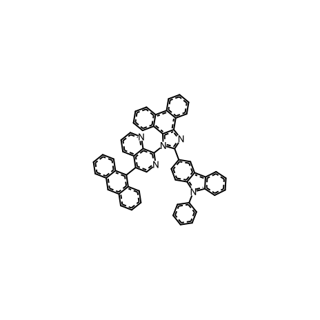 c1ccc(-n2c3ccccc3c3cc(-c4nc5c6ccccc6c6ccccc6c5n4-c4ncc(-c5c6ccccc6cc6ccccc56)c5cccnc45)ccc32)cc1